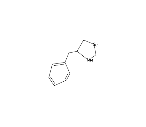 c1ccc(CC2C[Se]CN2)cc1